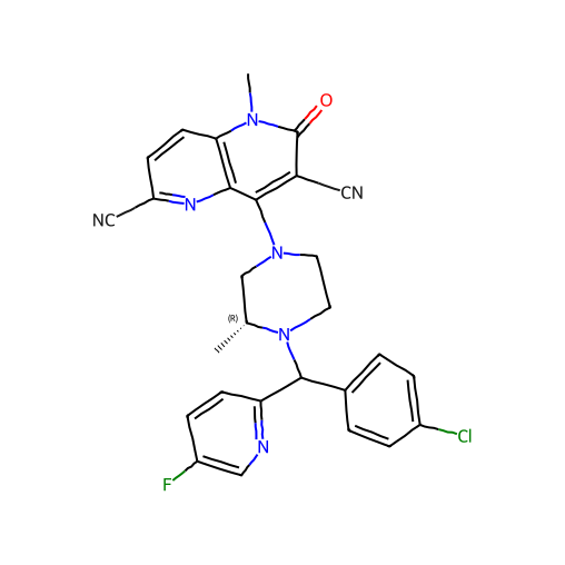 C[C@@H]1CN(c2c(C#N)c(=O)n(C)c3ccc(C#N)nc23)CCN1C(c1ccc(Cl)cc1)c1ccc(F)cn1